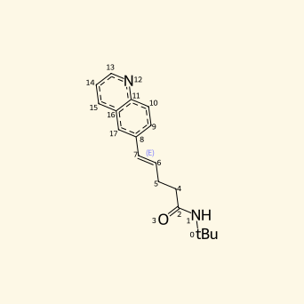 CC(C)(C)NC(=O)CC/C=C/c1ccc2ncccc2c1